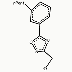 CCCCCc1cccc(-c2nc(C[O])no2)c1